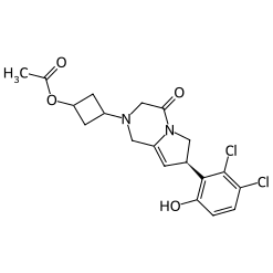 CC(=O)OC1CC(N2CC(=O)N3C[C@@H](c4c(O)ccc(Cl)c4Cl)C=C3C2)C1